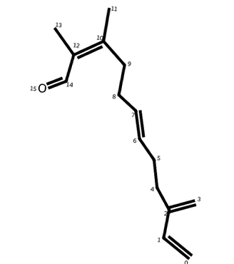 C=CC(=C)CCC=CCCC(C)=C(C)C=O